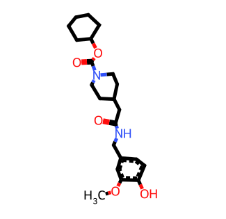 COc1cc(CNC(=O)CC2CCN(C(=O)OC3CCCCC3)CC2)ccc1O